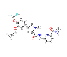 CCN(C)C(=O)c1cccc(CNC(=O)[C@H]2CC(c3ccc(OC(F)F)c(OCC4CC4)c3)CN2C(C)=O)n1